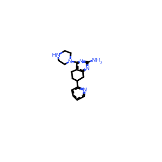 Nc1nc2c(c(N3CCNCC3)n1)CCC(c1ccccn1)C2